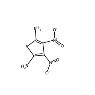 Bc1sc(B)c([N+](=O)[O-])c1[N+](=O)[O-]